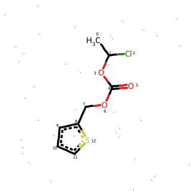 CC(Cl)OC(=O)OCc1cccs1